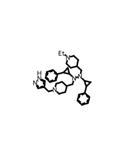 CCN1CCC(CN(C2CC2c2ccccc2)N(CC2CCN(Cc3cn[nH]c3)CC2)C2CC2c2ccccc2)CC1